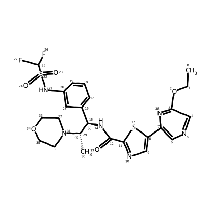 CCOc1cncc(-c2cnc(C(=O)N[C@H](c3cccc(NS(=O)(=O)C(F)F)c3)[C@H](C)N3CCOCC3)s2)n1